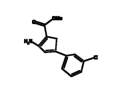 COC(=O)C1=C(N)C=C(c2cccc(Cl)c2)C1